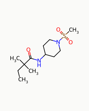 CCC(C)(C)C(=O)NC1CCN(S(C)(=O)=O)CC1